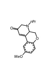 CCCN1CC(=O)C=C2c3cc(OC)ccc3OCC21